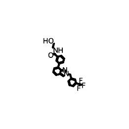 O=C(NCCO)c1cccc(-c2cccc3cn(Cc4cccc(C(F)(F)F)c4)nc23)c1